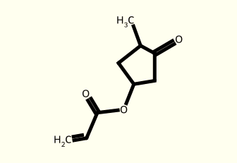 C=CC(=O)OC1CC(=O)C(C)C1